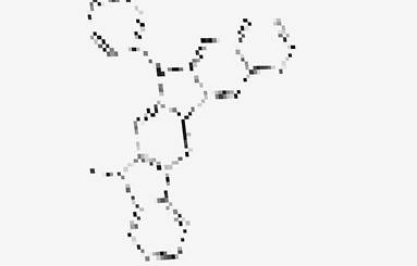 Cn1c2ccccc2c2cc3c4cc5ccccc5cc4n(-c4ccccc4)c3cc21